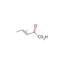 C/C=C/C(=O)C(=O)O